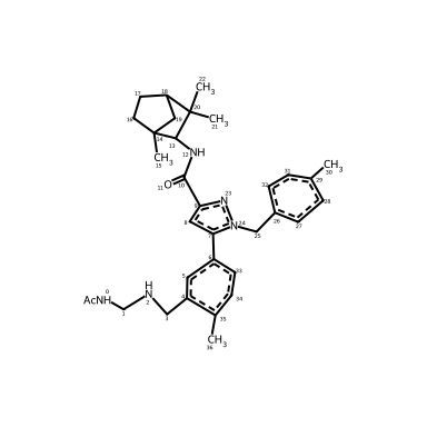 CC(=O)NCNCc1cc(-c2cc(C(=O)NC3C4(C)CCC(C4)C3(C)C)nn2Cc2ccc(C)cc2)ccc1C